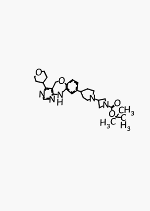 CC(C)(C)OC(=O)N1CC(N2CCC(c3ccc4c(c3)Nc3ncnc(C5CCOCC5)c3CO4)CC2)C1